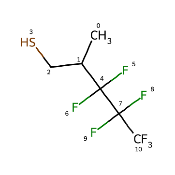 CC(CS)C(F)(F)C(F)(F)C(F)(F)F